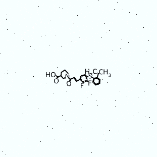 CC(C)c1ccccc1Sc1ccc(C=CC(=O)N2CCCC(C(=O)O)C2)c(F)c1F